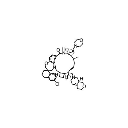 CO[C@@]1(CN2CCN3CCOC[C@@H]3C2)/C=C/C[C@H](C)[C@@H](CCN2CCOCC2)S(=O)(=O)NC(=O)c2ccc3c(c2)N(C[C@@H]2CC[C@H]21)C[C@@]1(CCCc2cc(Cl)ccc21)CO3